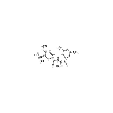 Cc1cc(C)cc(C(=O)N(NC(=O)c2ccc(CC#N)c(B(O)O)c2)C(C)(C)C)c1